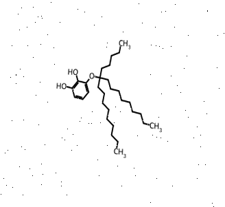 CCCCCCCCCC(CCCCC)(CCCCCCCCC)Oc1cccc(O)c1O